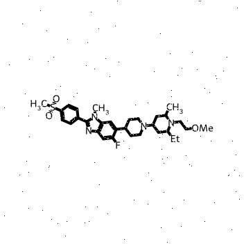 CCC1CC(N2CCC(c3cc4c(cc3F)nc(-c3ccc(S(C)(=O)=O)cc3)n4C)CC2)CC(C)N1CCOC